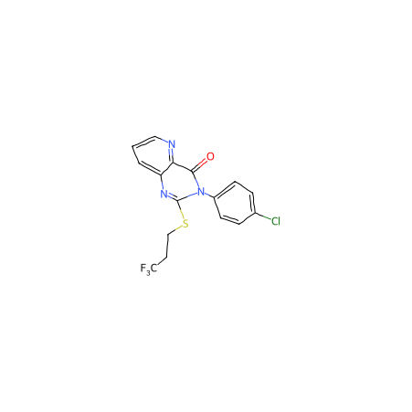 O=c1c2ncccc2nc(SCCC(F)(F)F)n1-c1ccc(Cl)cc1